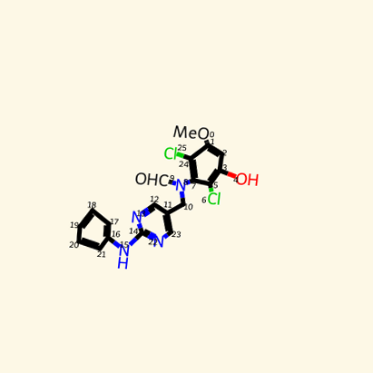 COc1cc(O)c(Cl)c(N(C=O)Cc2cnc(Nc3ccccc3)nc2)c1Cl